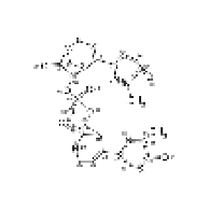 Cn1nc(C2=CCN3CC2N(OS(=O)(=O)ON2C(=O)N4CC=C(c5ccc(=O)n(C)n5)C2C4)C3=O)ccc1=O